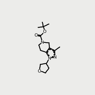 Cc1nn(C2CCOC2)c2c1CN(C(=O)OC(C)(C)C)CC2